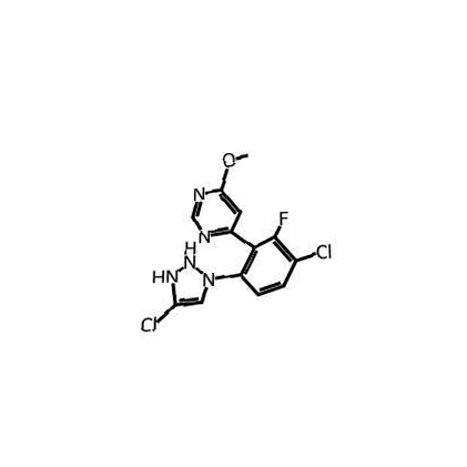 COc1cc(-c2c(N3C=C(Cl)NN3)ccc(Cl)c2F)ncn1